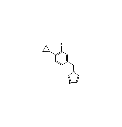 Fc1cc(Cn2ccnc2)ccc1C1CC1